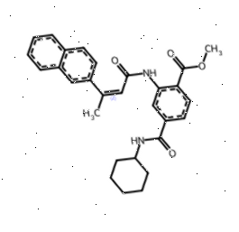 COC(=O)c1ccc(C(=O)NC2CCCCC2)cc1NC(=O)/C=C(/C)c1ccc2ccccc2c1